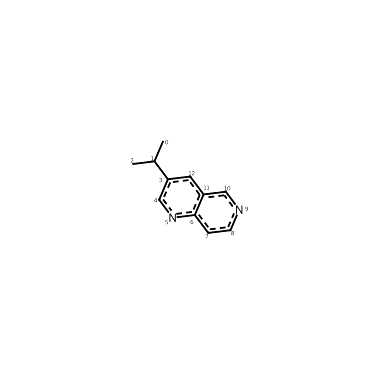 CC(C)c1cnc2ccncc2c1